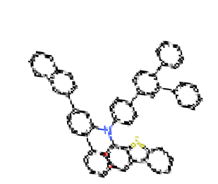 c1ccc(-c2ccc(-c3ccc(N(c4cc(-c5ccc6ccccc6c5)ccc4-c4ccccc4)c4cccc5c4sc4ccccc45)cc3)cc2-c2ccccc2)cc1